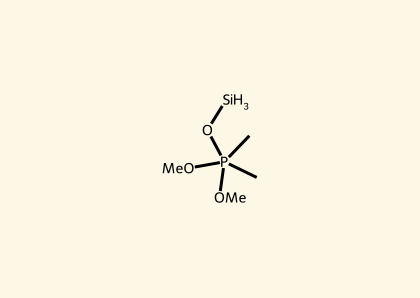 COP(C)(C)(OC)O[SiH3]